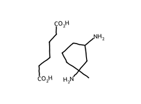 CC1(N)CCCC(N)C1.O=C(O)CCCCC(=O)O